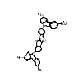 CC(C)(C)c1ccc2c(c1)c1cc(C(C)(C)C)ccc1n2-c1ccc2c(c1)oc1c3ccc(-n4c5ccc(C(C)(C)C)cc5c5cc(C(C)(C)C)ccc54)cc3sc21